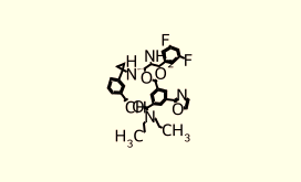 C#Cc1cccc(C2(NC[C@@H](OC(=O)c3cc(C(=O)N(CCC)CCC)cc(-c4ncco4)c3)[C@@H](N)Cc3cc(F)cc(F)c3)CC2)c1